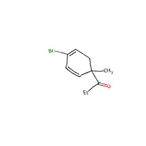 CCC(=O)C1(C)C=CC(Br)=CC1